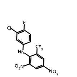 O=[N+]([O-])c1cc([N+](=O)[O-])c(Nc2ccc(F)c(Cl)c2)c(C(F)(F)F)c1